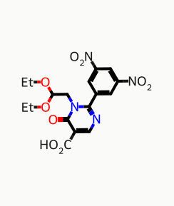 CCOC(Cn1c(-c2cc([N+](=O)[O-])cc([N+](=O)[O-])c2)ncc(C(=O)O)c1=O)OCC